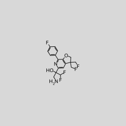 NCC(O)(c1cc2c(c(-c3ccc(F)cc3)n1)OCC2(CF)CF)C(F)F